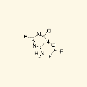 NC1N=C(F)N=C(Cl)N1OC(F)F